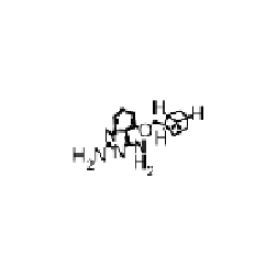 CC1(C)[C@H]2CC[C@H](COc3cccc4nc(N)nc(N)c34)[C@H]1C2